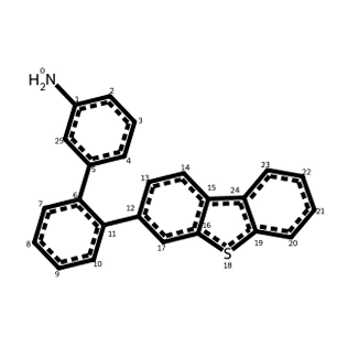 Nc1cccc(-c2ccccc2-c2ccc3c(c2)sc2ccccc23)c1